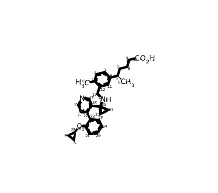 Cc1ccc([C@@H](C)CCCC(=O)O)cc1CNC1(c2cnccc2-c2ccccc2OC2CC2)CC1